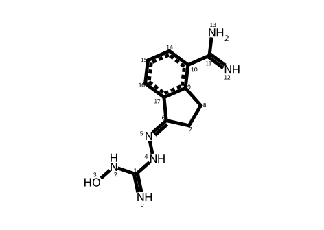 N=C(NO)NN=C1CCc2c(C(=N)N)cccc21